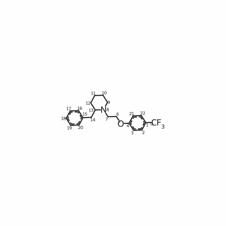 FC(F)(F)c1ccc(OCCN2CCCCC2Cc2ccccc2)cc1